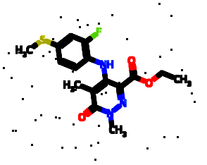 CCOC(=O)c1nn(C)c(=O)c(C)c1Nc1ccc(SC)cc1F